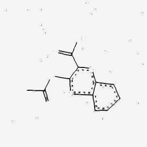 CC(=O)Oc1nc2ccccc2nc1C(=O)O